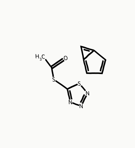 CC(=O)Sc1nnns1.c1cc2cc-2c1